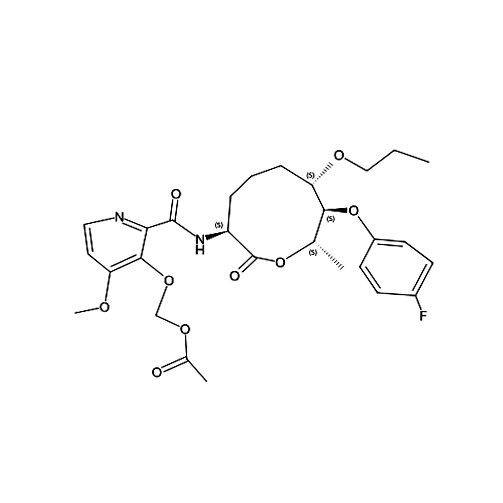 CCCO[C@H]1CCC[C@H](NC(=O)c2nccc(OC)c2OCOC(C)=O)C(=O)O[C@@H](C)[C@@H]1Oc1ccc(F)cc1